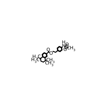 CC1(C)CCC(C)(C)c2cc(C(=O)OCCc3ccc(NS(C)(=O)=O)cc3)ccc21